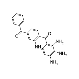 Nc1cc(C(=O)c2ccccc2)ccc1C(=O)c1ccc(N)c(N)c1N